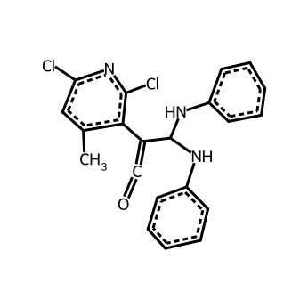 Cc1cc(Cl)nc(Cl)c1C(=C=O)C(Nc1ccccc1)Nc1ccccc1